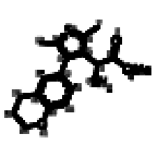 BC(C(=O)OC)c1c(C)sc(C)c1-c1ccc2c(c1)CCCO2